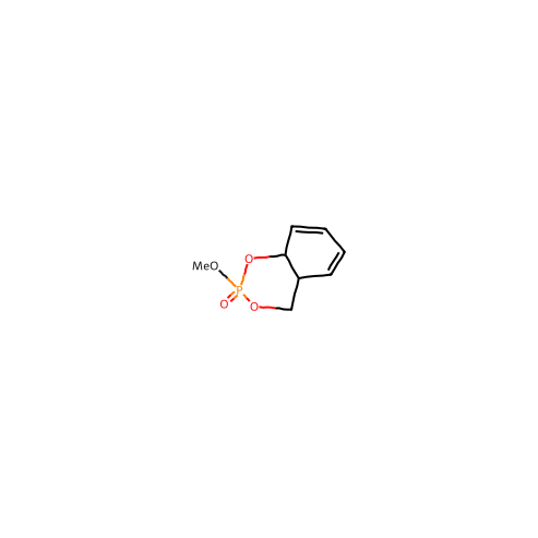 COP1(=O)OCC2C=CC=CC2O1